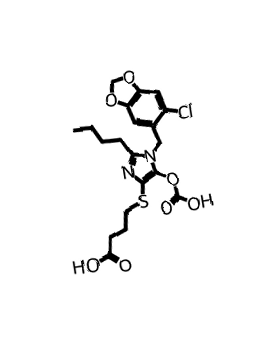 CCCCc1nc(SCCCC(=O)O)c(OC(=O)O)n1Cc1cc2c(cc1Cl)OCO2